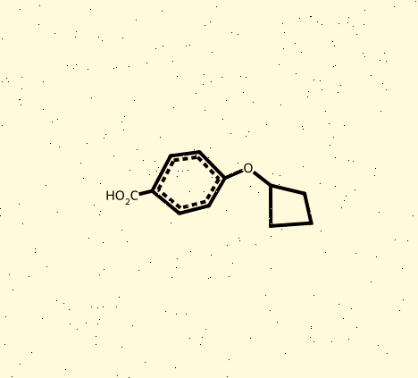 O=C(O)c1ccc(OC2CCC2)cc1